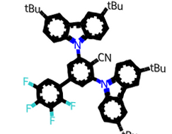 CC(C)(C)c1ccc2c(c1)c1cc(C(C)(C)C)ccc1n2-c1cc(-c2cc(F)c(F)c(F)c2F)cc(-n2c3ccc(C(C)(C)C)cc3c3cc(C(C)(C)C)ccc32)c1C#N